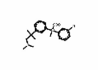 CN(C)CC(C)(C)c1cccc([N+](C)(C(=O)[O-])c2cccc(Cl)c2)c1